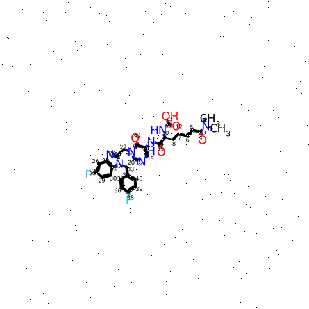 CN(C)C(=O)/C=C/CC[C@H](NC(=O)O)C(=O)Nc1cncn(Cc2nc3cc(F)ccc3n2Cc2ccc(F)cc2)c1=O